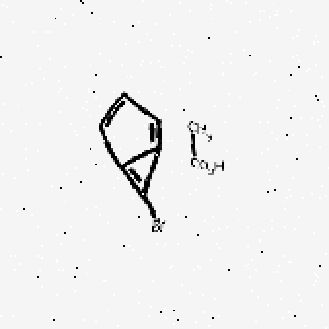 Brc1c2cccc1-2.CC(=O)O